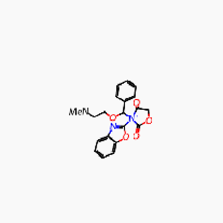 CNCCOC(c1ccccc1)[N+]1(c2nc3ccccc3o2)C(=O)COC1=O